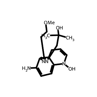 COCCC1N=C2C(N)=CC=C3N(O)C=CCC32N1CC(C)(C)O